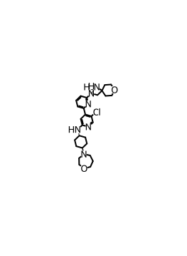 NC1(CNc2cccc(-c3cc(N[C@H]4CC[C@H](N5CCCOCC5)CC4)ncc3Cl)n2)CCOCC1